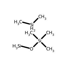 C[SiH2]C.C[Si](C)(C)O[SiH3]